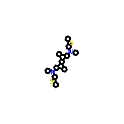 c1ccc(N(c2ccc3c(c2)sc2ccccc23)c2ccc3c(c2)c2ccccc2c2cc4c5ccc(N(c6ccccc6)c6ccc7c(c6)sc6ccccc67)cc5c5ccccc5c4cc32)cc1